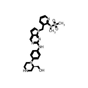 CN(c1ncccc1Cn1ccc2cnc(Nc3ccc(N4CCNC[C@@H]4CO)cc3)nc21)S(C)(=O)=O